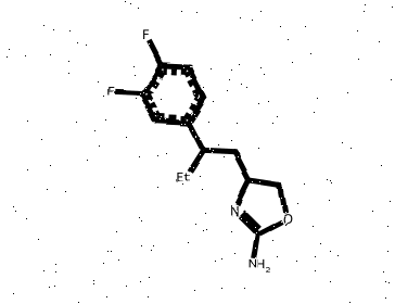 CCC(CC1COC(N)=N1)c1ccc(F)c(F)c1